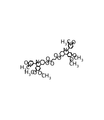 CCOc1cc2c(cc1OC)C(c1ccc(=O)n(C)c1)=NC1CCC(OC(=O)CCC(=O)C(=O)OC3CCC4N=C(c5ccc(=O)n(C)c5)c5cc(OC)c(OCC)cc5C4C3)CC21